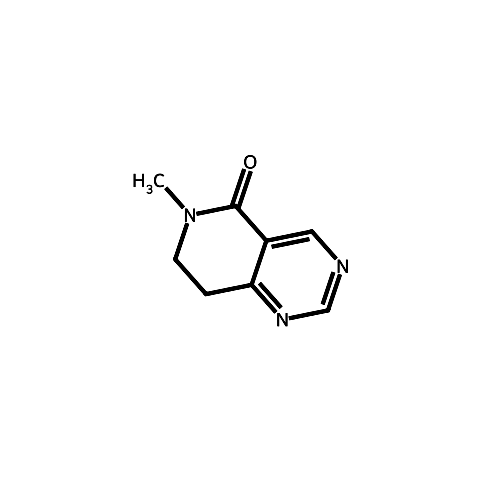 CN1CCc2ncncc2C1=O